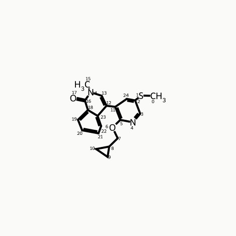 CSc1cnc(OCC2CC2)c(-c2cn(C)c(=O)c3ccccc23)c1